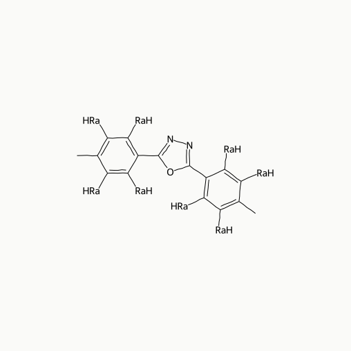 Cc1[c]([RaH])[c]([RaH])c(-c2nnc(-c3[c]([RaH])[c]([RaH])c(C)[c]([RaH])[c]3[RaH])o2)[c]([RaH])[c]1[RaH]